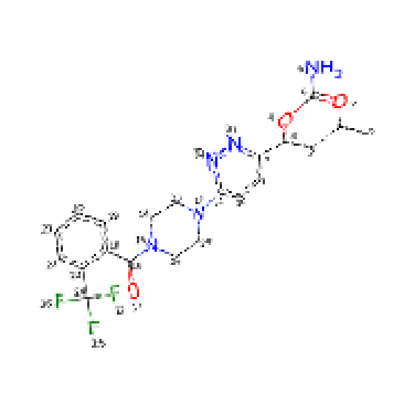 CCCC(OC(N)=O)c1ccc(N2CCN(C(=O)c3ccccc3C(F)(F)F)CC2)nn1